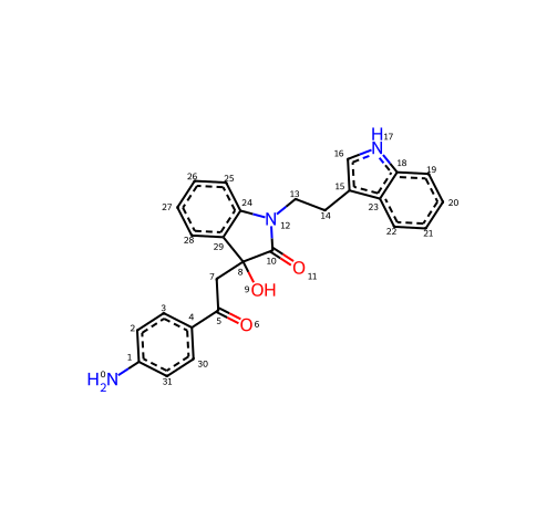 Nc1ccc(C(=O)CC2(O)C(=O)N(CCc3c[nH]c4ccccc34)c3ccccc32)cc1